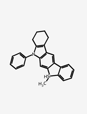 C[SiH]1c2ccccc2-c2cc3c4c(n(-c5ccccc5)c3cc21)CCCC4